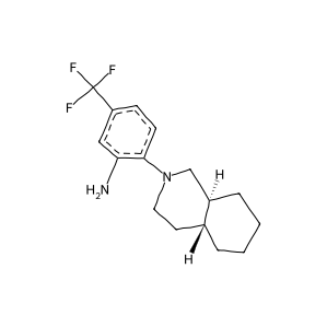 Nc1cc(C(F)(F)F)ccc1N1CC[C@H]2CCCC[C@@H]2C1